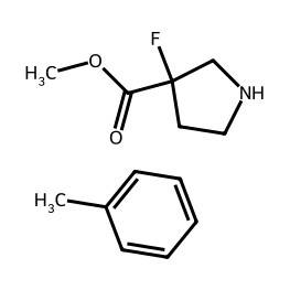 COC(=O)C1(F)CCNC1.Cc1ccccc1